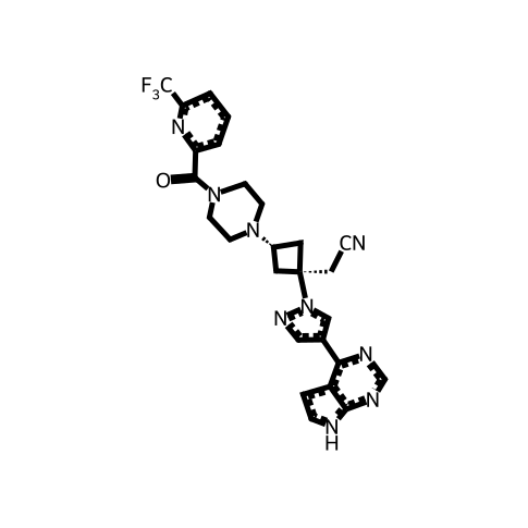 N#CC[C@]1(n2cc(-c3ncnc4[nH]ccc34)cn2)C[C@H](N2CCN(C(=O)c3cccc(C(F)(F)F)n3)CC2)C1